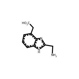 NCc1nc2c(CC(=O)O)cccc2[nH]1